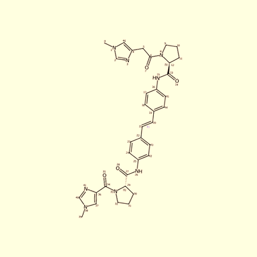 Cn1cnc(CC(=O)N2CCC[C@H]2C(=O)Nc2ccc(/C=C/c3ccc(NC(=O)[C@@H]4CCCN4C(=O)c4cn(C)cn4)cc3)cc2)c1